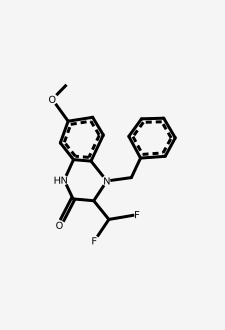 COc1ccc2c(c1)NC(=O)C(C(F)F)N2Cc1ccccc1